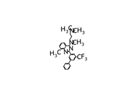 Cc1cccc2c(N(C)CCCN(C)C)nc(-c3cc(-c4ccccc4)cc(C(F)(F)F)c3)nc12